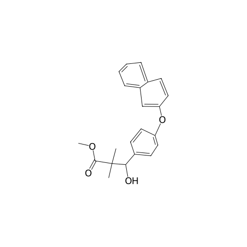 COC(=O)C(C)(C)C(O)c1ccc(Oc2ccc3ccccc3c2)cc1